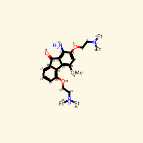 CCN(CC)CCOc1cc(OC)c2c(c1N)C(=O)c1cccc(OCCN(CC)CC)c1-2